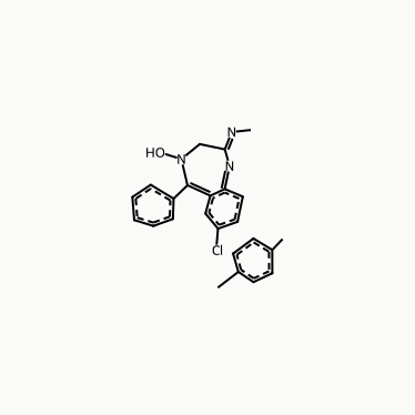 C/N=C1/CN(O)C(c2ccccc2)=c2cc(Cl)ccc2=N1.Cc1ccc(C)cc1